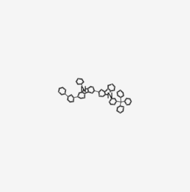 c1ccc(-c2cccc(-c3ccc4c5cc(-c6ccc7c(c6)c6ccccc6n7-c6cccc(C(c7ccccc7)(c7ccccc7)c7ccccc7)c6)ccc5n(-c5ccccc5)c4c3)c2)cc1